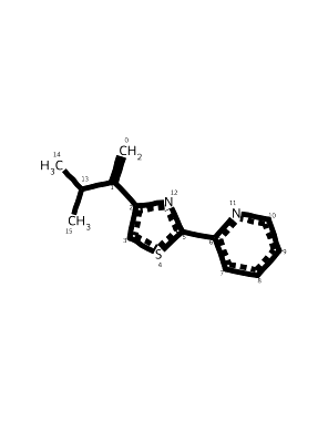 C=C(c1csc(-c2ccccn2)n1)C(C)C